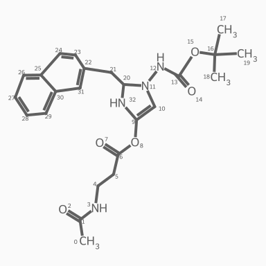 CC(=O)NCCC(=O)OC1=CN(NC(=O)OC(C)(C)C)C(Cc2ccc3ccccc3c2)N1